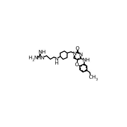 CCc1ccc2c(c1)Nc1nc(=O)n(CC3CCC(NCCCNC(=N)N)CC3)cc1O2